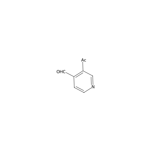 CC(=O)c1cnccc1C=O